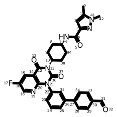 Cc1cc(C(=O)N[C@H]2CC[C@@H](n3c(=O)c4cc(F)cnc4n(-c4cccc(-c5ccc(C=O)cc5)c4)c3=O)CC2)nn1C